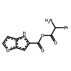 CC(C)C(N)C(=O)OC(=O)c1cc2occc2[nH]1